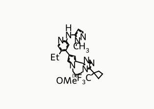 CCc1cnc(Nc2ccnn2C)cc1-c1cc2n(c1)C[C@H](OC)Cn1c-2nnc1C1(C(F)(F)F)CCC1